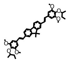 CCC(C)Oc1c(OC)cc(/C=C/c2ccc3c(c2)C(C)(C)c2cc(/C=C/c4cc(OC)c(OC(C)CC)c(OC)c4)ccc2-3)cc1OC